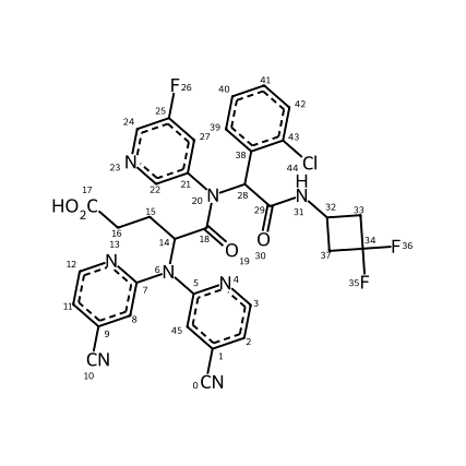 N#Cc1ccnc(N(c2cc(C#N)ccn2)C(CCC(=O)O)C(=O)N(c2cncc(F)c2)C(C(=O)NC2CC(F)(F)C2)c2ccccc2Cl)c1